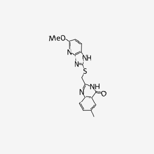 COc1ccc2[nH]c(SCc3nc4ccc(C)cc4c(=O)[nH]3)nc2n1